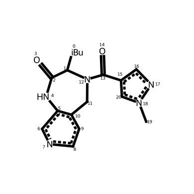 CCC(C)C1C(=O)Nc2cnccc2CN1C(=O)c1cnn(C)c1